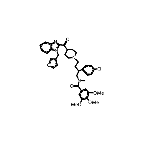 COc1cc(C(=O)N(C)CC(CCN2CCC(C(=O)c3nc4ccccc4n3Cc3ccoc3)CC2)c2ccc(Cl)cc2)cc(OC)c1OC